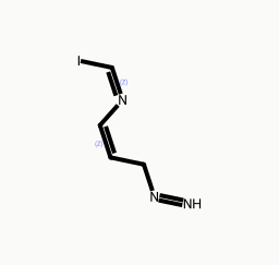 N=NC/C=C\N=C/I